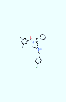 Cc1cc(C)cc(C(=O)N2CC[C@H](NCCc3ccc(Cl)cc3)C[C@@H]2Cc2ccccc2)c1